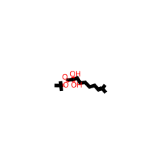 CC(C)=CCCCCCC(O)(O)C(=O)OC(C)(C)C